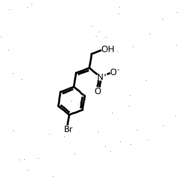 O=[N+]([O-])C(=Cc1ccc(Br)cc1)CO